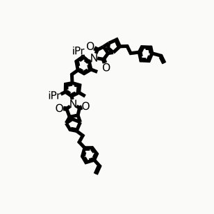 C=Cc1ccc(CCC2=CC3CC2C2C(=O)N(c4c(C)cc(Cc5cc(C)c(N6C(=O)C7C8C=C(CCc9ccc(C=C)cc9)C(C8)C7C6=O)c(C(C)C)c5)cc4C(C)C)C(=O)C32)cc1